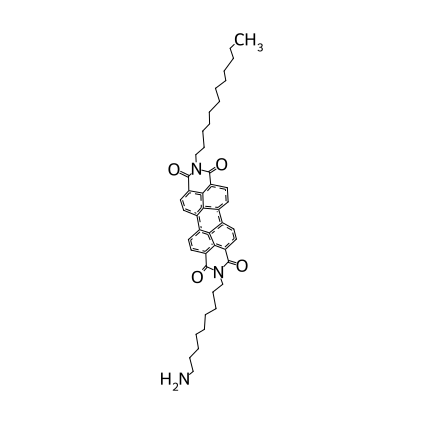 CCCCCCCCCCCCN1C(=O)c2ccc3c4ccc5c6c(ccc(c7ccc(c2c37)C1=O)c64)C(=O)N(CCCCCCCCCN)C5=O